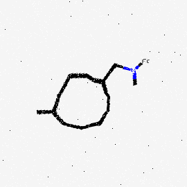 CCN(C)CC1CCCCCC(C)CCC1